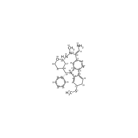 CSC1C=c2c(c3ncc(/C(=C/N)N(C)N)cc3n2[C@H](c2ccccc2)C2CCOCC2)=CC1